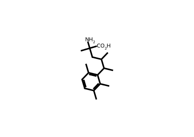 Cc1ccc(C)c(C(C)C(C)CC(C)(N)C(=O)O)c1C